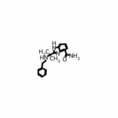 CC(C)(NCCc1ccccc1)c1nc2c(C(N)=O)cccc2[nH]1